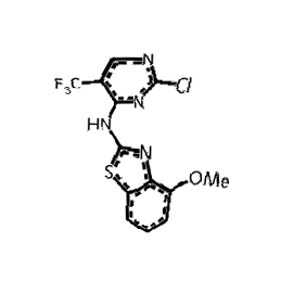 COc1cccc2sc(Nc3nc(Cl)ncc3C(F)(F)F)nc12